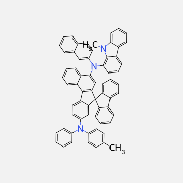 Cc1ccc(N(c2ccccc2)c2ccc3c(c2)C2(c4ccccc4-c4ccccc42)c2cc(N(c4ccc5ccccc5c4)c4cccc5c6ccccc6n(C)c45)c4ccccc4c2-3)cc1